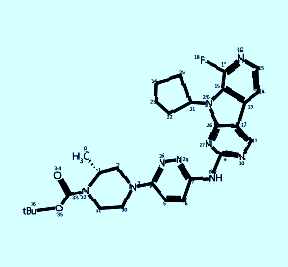 C[C@@H]1CN(c2ccc(Nc3ncc4c5ccnc(F)c5n(C5CCCC5)c4n3)nn2)CCN1C(=O)OC(C)(C)C